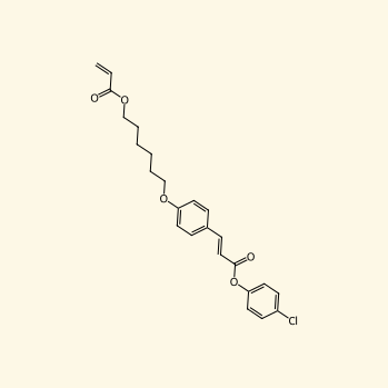 C=CC(=O)OCCCCCCOc1ccc(/C=C/C(=O)Oc2ccc(Cl)cc2)cc1